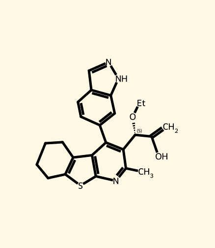 C=C(O)[C@@H](OCC)c1c(C)nc2sc3c(c2c1-c1ccc2cn[nH]c2c1)CCCC3